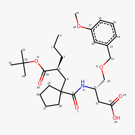 CCC[C@@H](CC1(C(=O)N[C@H](COCc2cccc(OC)c2)CC(=O)O)CCCC1)C(=O)OC(C)(C)C